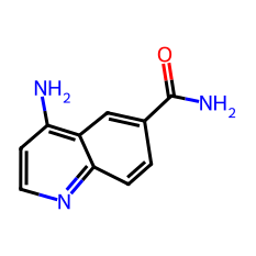 NC(=O)c1ccc2nccc(N)c2c1